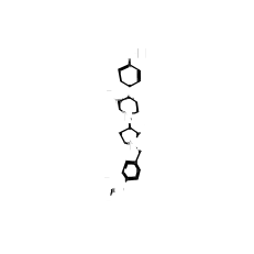 O=C1C(N2CC[C@@H](C3C=CC(O)=CC3)[C@H](F)C2)CCN1Cc1ccc(OC(F)F)cc1